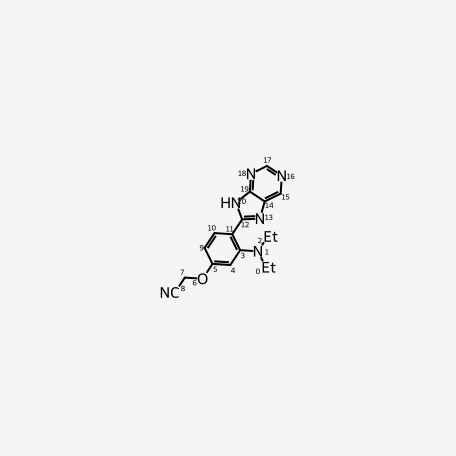 CCN(CC)c1cc(OCC#N)ccc1-c1nc2cncnc2[nH]1